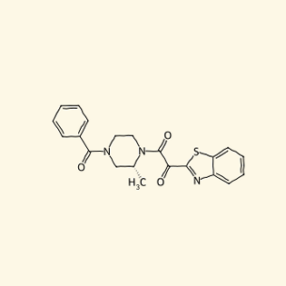 C[C@@H]1CN(C(=O)c2ccccc2)CCN1C(=O)C(=O)c1nc2ccccc2s1